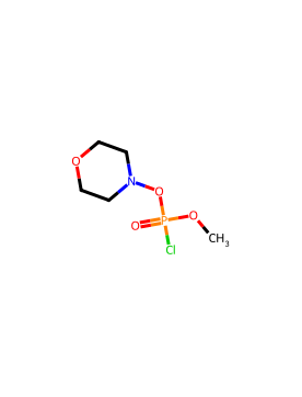 COP(=O)(Cl)ON1CCOCC1